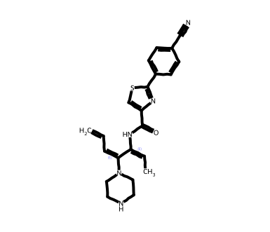 C=C/C=C(\C(=C/C)NC(=O)c1csc(-c2ccc(C#N)cc2)n1)N1CCNCC1